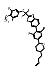 C=CCCC1CCC(c2cc(F)c(-c3ccc4nc(C(F)(F)Oc5cc(F)c(OC(F)(F)F)c(F)c5)sc4c3)c(F)c2)OC1